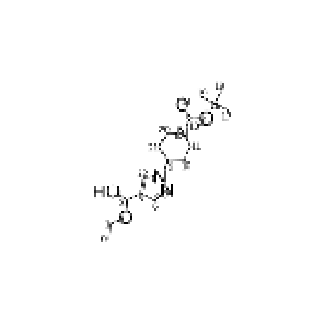 CCOC(O)c1cnn(C2CCN(C(=O)OC(C)(C)C)CC2)c1